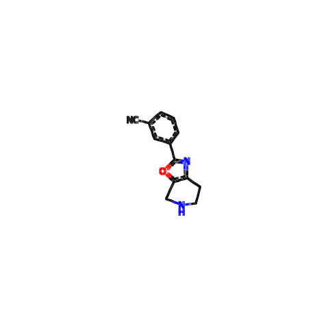 N#Cc1cccc(-c2nc3c(o2)CNCC3)c1